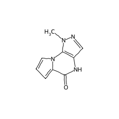 Cn1ncc2[nH]c(=O)c3cccn3c21